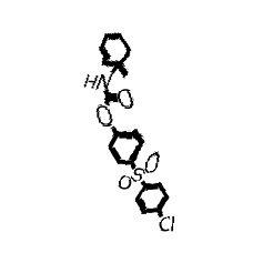 CC1(NC(=O)Oc2ccc(S(=O)(=O)c3ccc(Cl)cc3)cc2)C=CC=CC1